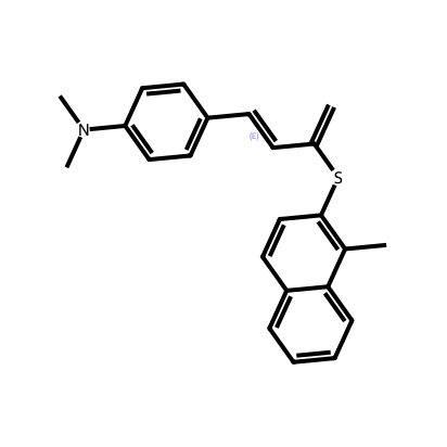 C=C(/C=C/c1ccc(N(C)C)cc1)Sc1ccc2ccccc2c1C